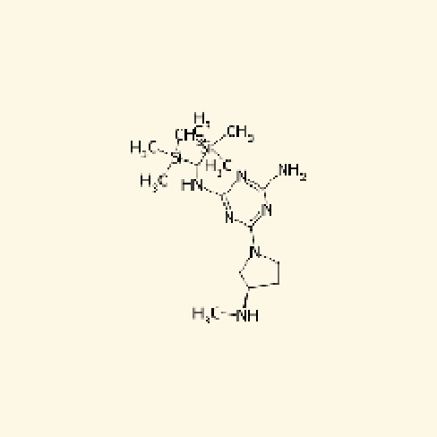 CN[C@@H]1CCN(c2nc(N)nc(NC([Si](C)(C)C)[Si](C)(C)C)n2)C1